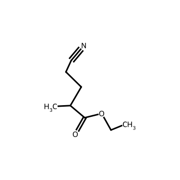 CCOC(=O)C(C)CCC#N